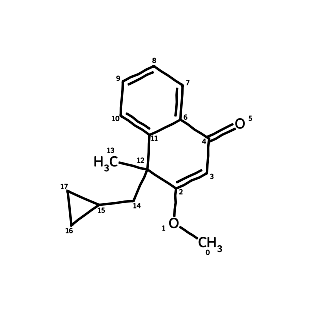 COC1=CC(=O)c2ccccc2C1(C)CC1CC1